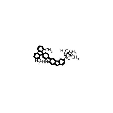 Cc1ccccc1C1(c2ccccc2C)C=c2[nH]c3cc4c(cc3c2CC1)-c1cc(B2OC(C)(C)C(C)(C)O2)ccc1C=4